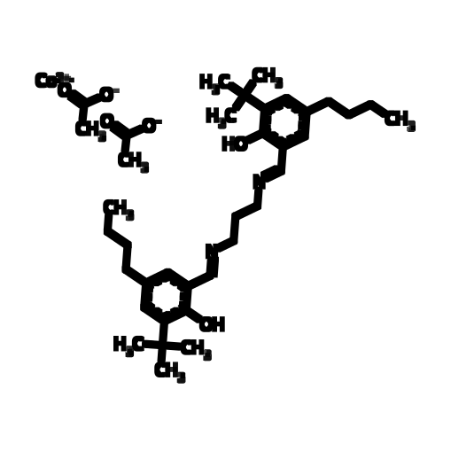 CC(=O)[O-].CC(=O)[O-].CCCCc1cc(C=NCCCN=Cc2cc(CCCC)cc(C(C)(C)C)c2O)c(O)c(C(C)(C)C)c1.[Co+2]